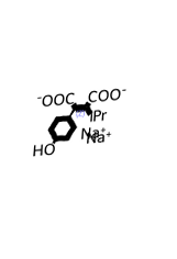 CC(C)/C(C(=O)[O-])=C(/C(=O)[O-])[C@H]1CC[C@@H](O)CC1.[Na+].[Na+]